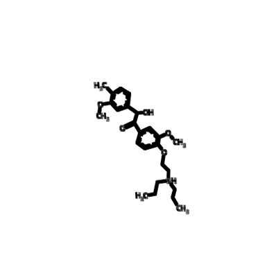 CCC[SiH](CCC)CCOc1ccc(C(=O)C(O)c2ccc(C)c(OC)c2)cc1OC